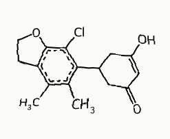 Cc1c(C)c(C2CC(=O)C=C(O)C2)c(Cl)c2c1CCO2